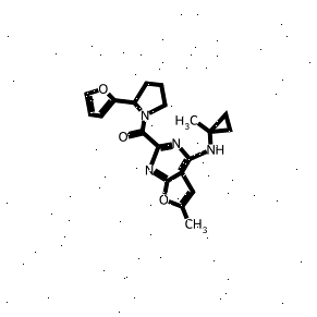 Cc1cc2c(NC3(C)CC3)nc(C(=O)N3CCCC3c3ccco3)nc2o1